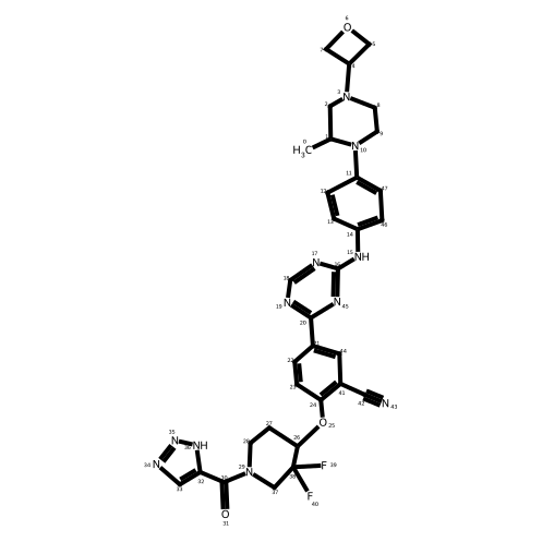 CC1CN(C2COC2)CCN1c1ccc(Nc2ncnc(-c3ccc(OC4CCN(C(=O)c5cnn[nH]5)CC4(F)F)c(C#N)c3)n2)cc1